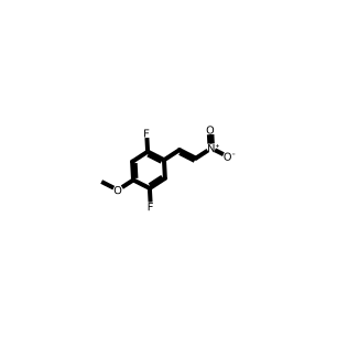 COc1cc(F)c(C=C[N+](=O)[O-])cc1F